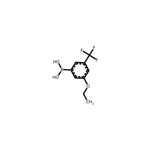 CCOc1cc(B(O)O)cc(C(F)(F)F)c1